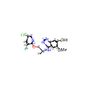 COc1cc2ncnc(NC(C)COc3ncc(Cl)cc3F)c2cc1OC